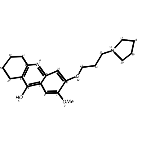 COc1cc2c(O)c3c(nc2cc1OCCCN1CCCC1)CCCC3